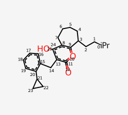 CC(C)CCC1CCCCc2c1oc(=O)c(Cc1ccccc1C1CC1)c2O